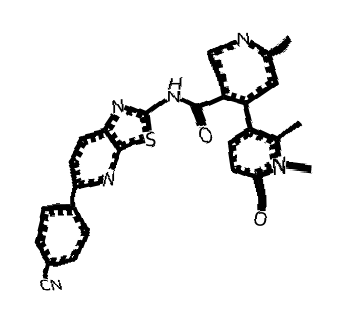 Cc1cc(-c2ccc(=O)n(C)c2C)c(C(=O)Nc2nc3ccc(-c4ccc(C#N)cc4)nc3s2)cn1